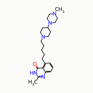 Cc1nc2cccc(CCCCCN3CCC(N4CCN(C)CC4)CC3)c2c(=O)[nH]1